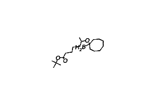 BC1(OC(C)CCCCC(=O)OC(C)(C)C)CCCCCCC1